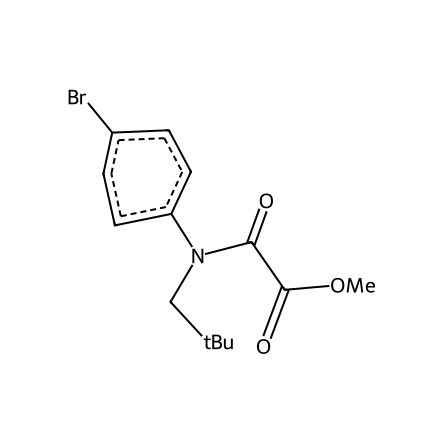 COC(=O)C(=O)N(CC(C)(C)C)c1ccc(Br)cc1